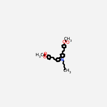 CCCCCCn1c2ccc(C=Cc3ccc(OC(C)=O)cc3)cc2c2cc(C=Cc3ccc(OC(C)=O)cc3)ccc21